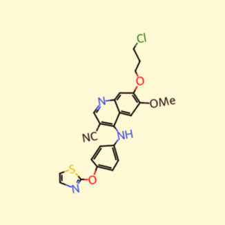 COc1cc2c(Nc3ccc(Oc4nccs4)cc3)c(C#N)cnc2cc1OCCCCl